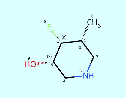 C[C@@H]1CNC[C@H](O)[C@@H]1F